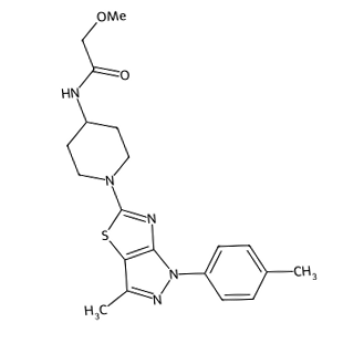 COCC(=O)NC1CCN(c2nc3c(s2)c(C)nn3-c2ccc(C)cc2)CC1